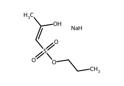 CCCOS(=O)(=O)C=C(C)O.[NaH]